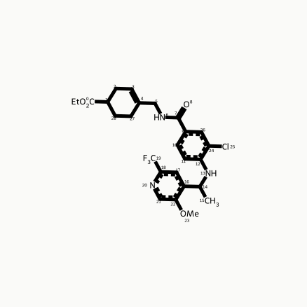 CCOC(=O)C1CC=C(CNC(=O)c2ccc(NC(C)c3cc(C(F)(F)F)ncc3OC)c(Cl)c2)CC1